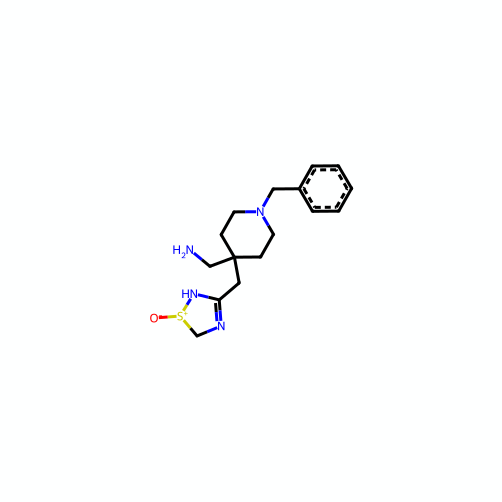 NCC1(CC2=NC[S+]([O-])N2)CCN(Cc2ccccc2)CC1